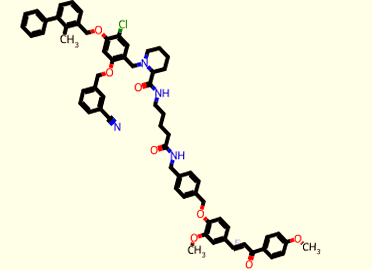 COc1ccc(C(=O)/C=C/c2ccc(OCc3ccc(CNC(=O)CCCCNC(=O)C4CCCCN4Cc4cc(Cl)c(OCc5cccc(-c6ccccc6)c5C)cc4OCc4cccc(C#N)c4)cc3)c(OC)c2)cc1